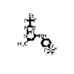 CCC(F)(F)c1nc2nc(C)cc(Nc3ccc(S(F)(F)(F)(F)F)cc3)n2n1